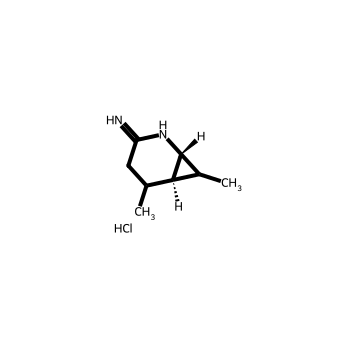 CC1CC(=N)N[C@@H]2C(C)[C@@H]12.Cl